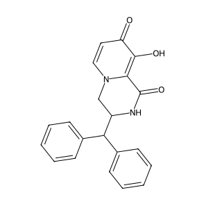 O=C1NC(C(c2ccccc2)c2ccccc2)Cn2ccc(=O)c(O)c21